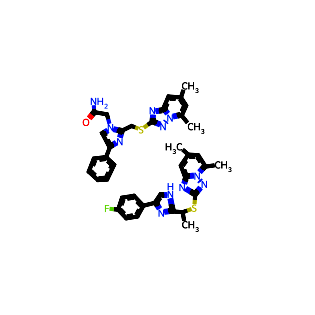 Cc1cc(C)n2nc(SC(C)c3nc(-c4ccc(F)cc4)c[nH]3)nc2c1.Cc1cc(C)n2nc(SCc3nc(-c4ccccc4)cn3CC(N)=O)nc2c1